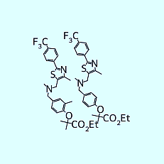 CCOC(=O)C(C)(C)Oc1ccc(CN(C)Cc2sc(-c3ccc(C(F)(F)F)cc3)nc2C)cc1.CCOC(=O)C(C)(C)Oc1ccc(CN(C)Cc2sc(-c3ccc(C(F)(F)F)cc3)nc2C)cc1C